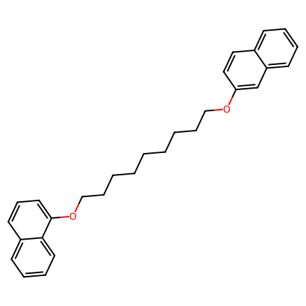 c1ccc2cc(OCCCCCCCCCOc3cccc4ccccc34)ccc2c1